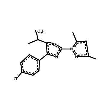 Cc1cc(C)n(-c2nc(-c3ccc(Cl)cc3)c(C(C)C(=O)O)o2)n1